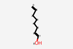 C=CCCCCC=CO